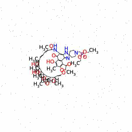 CCOP(=O)(CN1CCC2(CC1)N=C1C(=C3NC(=O)/C(C)=C\C=C\[C@H](C)[C@H](O)[C@@H](C)[C@@H](O)[C@@H](C)[C@H](OC(C)=O)[C@H](C)[C@@H](OC)/C=C/O[C@@]4(C)Oc5c(C)c(O)c(c1c5C4=O)C3=O)N2)OCC